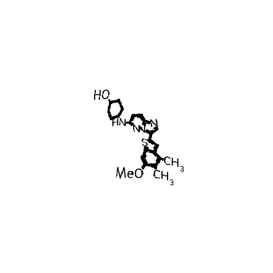 COc1cc2sc(-c3cnc4ccc(N[C@H]5CC[C@H](O)CC5)nn34)cc2c(C)c1C